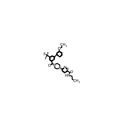 CCCNC(=O)c1ccc(N2CCN(C(=O)c3cc(-c4cccc(OCC)c4)cc(C(F)(F)F)c3)CC2)nn1